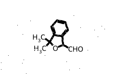 CC1(C)OC(C=O)c2ccccc21